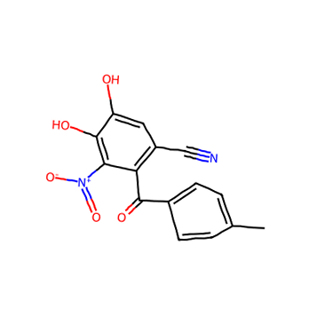 Cc1ccc(C(=O)c2c(C#N)cc(O)c(O)c2[N+](=O)[O-])cc1